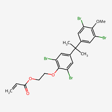 C=CC(=O)OCCOc1c(Br)cc(C(C)(C)c2cc(Br)c(OC)c(Br)c2)cc1Br